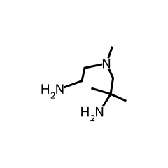 CN(CCN)CC(C)(C)N